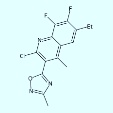 CCc1cc2c(C)c(-c3nc(C)no3)c(Cl)nc2c(F)c1F